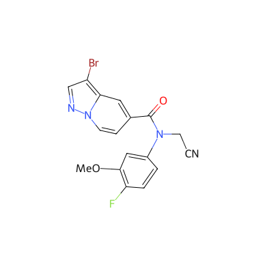 COc1cc(N(CC#N)C(=O)c2ccn3ncc(Br)c3c2)ccc1F